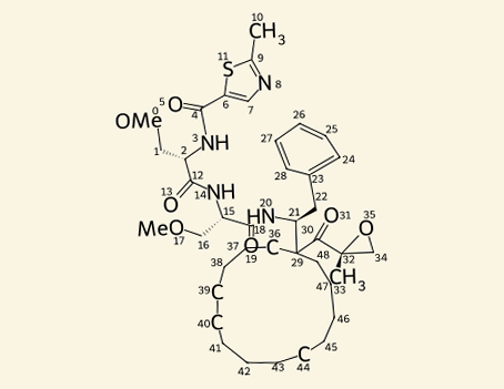 COC[C@H](NC(=O)c1cnc(C)s1)C(=O)N[C@@H](COC)C(=O)N[C@@H](Cc1ccccc1)C1(C(=O)[C@@]2(C)CO2)CCCCCCCCCCCCC1